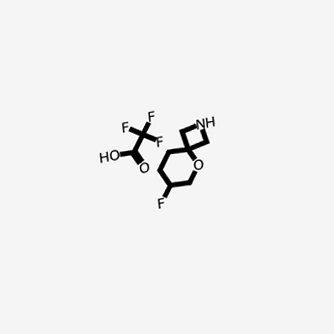 FC1CCC2(CNC2)OC1.O=C(O)C(F)(F)F